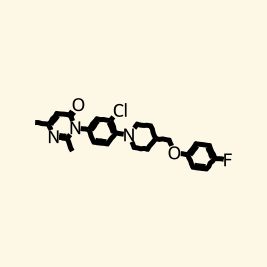 Cc1cc(=O)n(-c2ccc(N3CCC(COc4ccc(F)cc4)CC3)c(Cl)c2)c(C)n1